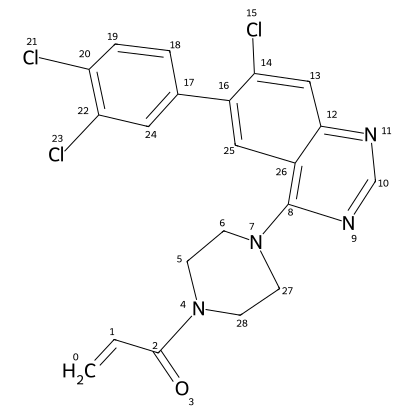 C=CC(=O)N1CCN(c2ncnc3cc(Cl)c(-c4ccc(Cl)c(Cl)c4)cc23)CC1